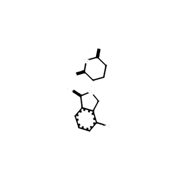 Nc1cccc2c1CN([C@H]1CCC(=O)NC1=O)C2=S